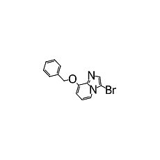 Brc1cnc2c(OCc3ccccc3)cccn12